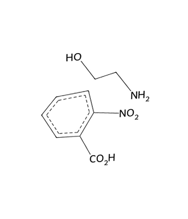 NCCO.O=C(O)c1ccccc1[N+](=O)[O-]